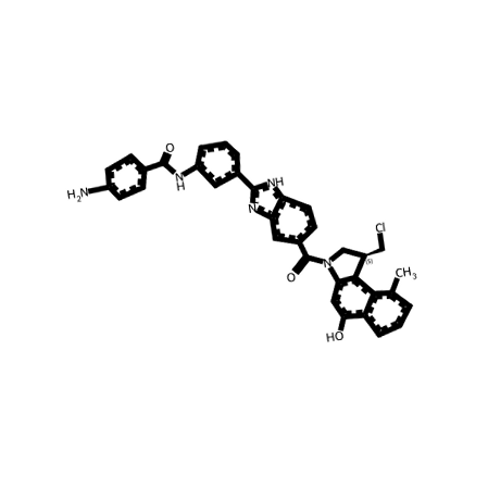 Cc1cccc2c(O)cc3c(c12)[C@H](CCl)CN3C(=O)c1ccc2[nH]c(-c3cccc(NC(=O)c4ccc(N)cc4)c3)nc2c1